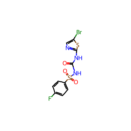 O=C(Nc1ncc(Br)s1)NS(=O)(=O)c1ccc(F)cc1